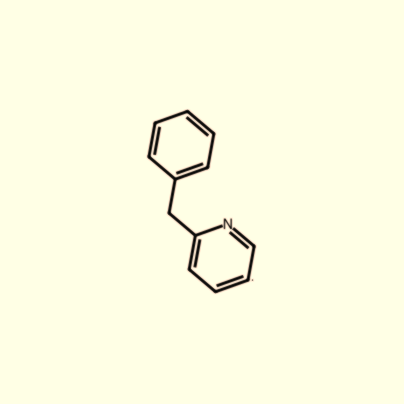 [c]1ccc(Cc2ccccc2)nc1